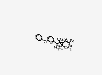 CC1(C)C(C=C(Br)Br)C1(C(=O)O)C(c1cccc(Oc2ccccc2)n1)C(F)(F)F